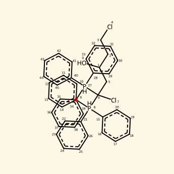 OC(CCCl)CC(Cl)([PH](c1ccccc1)(c1ccccc1)c1ccccc1)[PH](c1ccccc1)(c1ccccc1)c1ccccc1